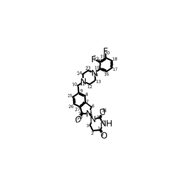 O=C1CCN(N2Cc3cc(CN4CCN(c5cccc(F)c5F)CC4)ccc3C2=O)C(=O)N1